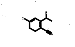 CC(C)C1=C(C#N)CCC(Cl)=C1